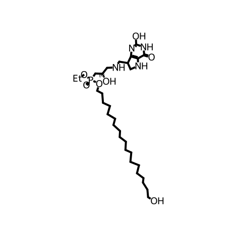 CCOP(=O)(C[C@H](O)CNCC1CNc2c1nc(O)[nH]c2=O)OCCCCCCCCCCCCCCCCCCCO